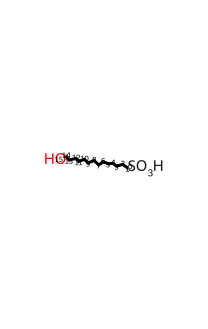 O=S(=O)(O)CCCCCCCCCCCCCCO